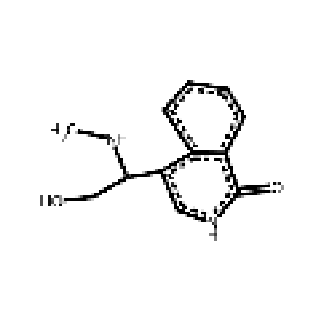 CNC(CO)c1c[nH]c(=O)c2ccccc12